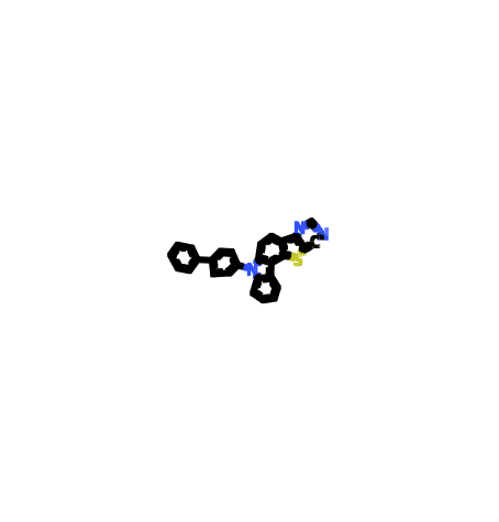 c1ccc(-c2ccc(-n3c4ccccc4c4c5sc6cncnc6c5ccc43)cc2)cc1